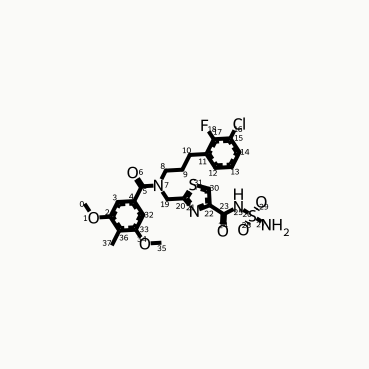 COc1cc(C(=O)N(CCCc2cccc(Cl)c2F)Cc2nc(C(=O)NS(N)(=O)=O)cs2)cc(OC)c1C